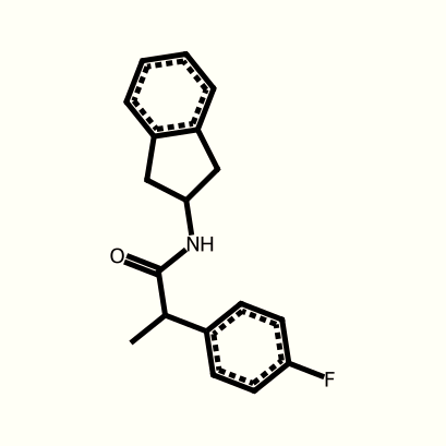 CC(C(=O)NC1Cc2ccccc2C1)c1ccc(F)cc1